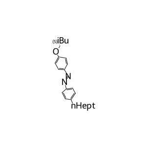 CCCCCCCc1ccc(N=Nc2ccc(OC[C@@H](C)CC)cc2)cc1